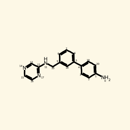 Nc1ccc(-c2cccc(CNc3cnccn3)c2)cc1